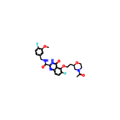 COc1cc(CNC(=O)c2nc3ccc(F)c(OCCC4CN(C(C)=O)CCO4)c3c(=O)[nH]2)ccc1F